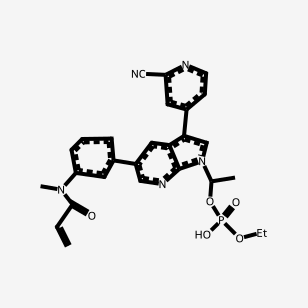 C=CC(=O)N(C)c1cccc(-c2cnc3c(c2)c(-c2ccnc(C#N)c2)cn3C(C)OP(=O)(O)OCC)c1